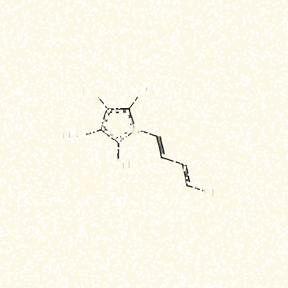 CC=CC=Cn1c(C)c(C)c(C)c1C